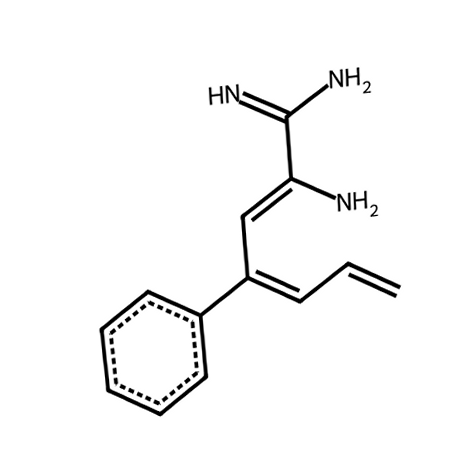 C=C/C=C(\C=C(/N)C(=N)N)c1ccccc1